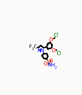 NS(=O)(=O)c1ccc(-n2nc(C(F)(F)F)cc2-c2cc(OCCl)cc(OCCl)c2)cc1